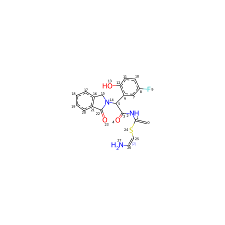 C=C(NC(=O)C(c1cc(F)ccc1O)N1Cc2ccccc2C1=O)S/C=C\N